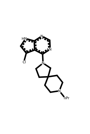 [CH2]CCN1CCC2(CC1)CCN(c1ncnc3[nH]cc(Cl)c13)C2